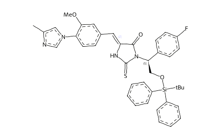 COc1cc(/C=C2\NC(=S)N([C@H](CO[Si](c3ccccc3)(c3ccccc3)C(C)(C)C)c3ccc(F)cc3)C2=O)ccc1-n1cnc(C)c1